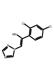 CCCCC(=Cn1cncn1)c1ccc(Cl)cc1Cl